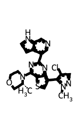 C[C@@H]1COCCN1c1nc(-c2cncc3[nH]ccc23)nc2c(-c3c(Cl)cnn3C)csc12